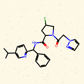 CC(C)c1ccc(C(NC(=O)C2CC(F)CN2C(=O)Cn2cccn2)c2ccccc2)nc1